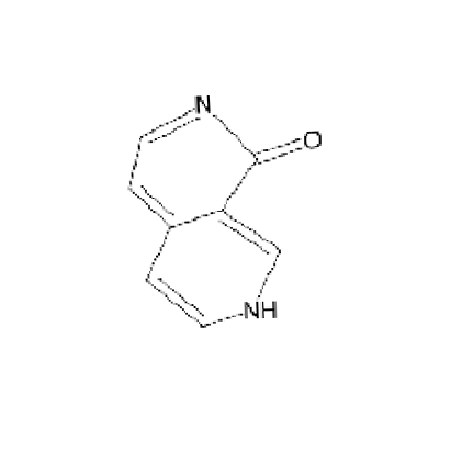 O=c1nccc2cc[nH]cc1-2